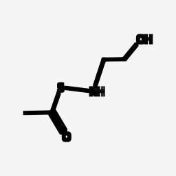 CC(=O)SNCCO